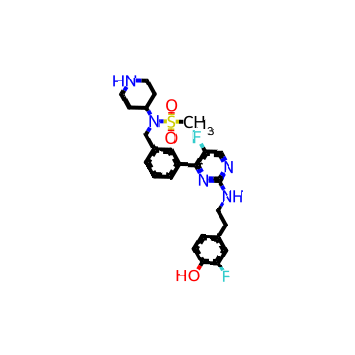 CS(=O)(=O)N(Cc1cccc(-c2nc(NCCc3ccc(O)c(F)c3)ncc2F)c1)C1CCNCC1